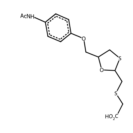 CC(=O)Nc1ccc(OCC2CSC(CSCC(=O)O)O2)cc1